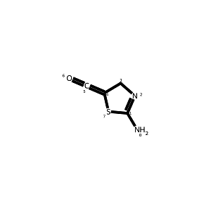 NC1=NCC(=C=O)S1